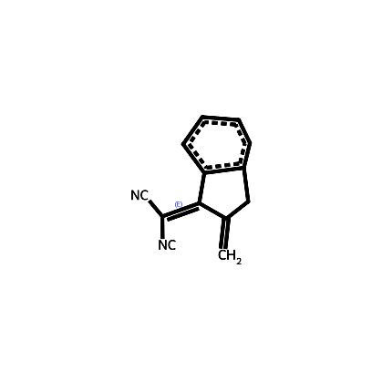 [C-]#[N+]/C(C#N)=C1\C(=C)Cc2ccccc21